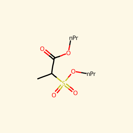 CCCOC(=O)C(C)S(=O)(=O)OCCC